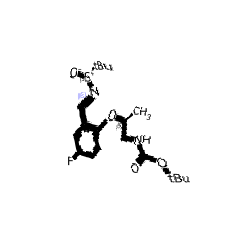 C[C@@H](CNC(=O)OC(C)(C)C)Oc1ccc(F)cc1/C=N/[S@+]([O-])C(C)(C)C